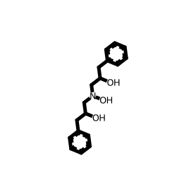 OC(Cc1ccccc1)CN(O)CC(O)Cc1ccccc1